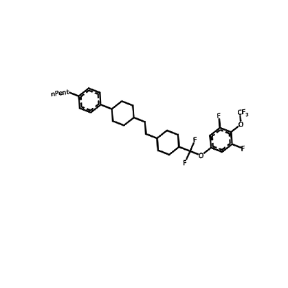 CCCCCc1ccc(C2CCC(CCC3CCC(C(F)(F)Oc4cc(F)c(OC(F)(F)F)c(F)c4)CC3)CC2)cc1